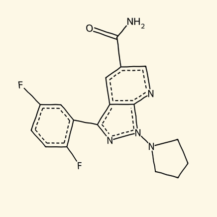 NC(=O)c1cnc2c(c1)c(-c1cc(F)ccc1F)nn2N1CCCC1